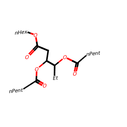 CCCCCCOC(=O)CC(OC(=O)CCCCC)C(CC)OC(=O)CCCCC